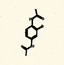 CC(=O)Nc1ccc(NC(C)=O)c(Br)c1